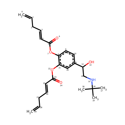 C=CCC=CC(=O)Oc1ccc(C(O)CNC(C)(C)C)cc1OC(=O)C=CCC=C